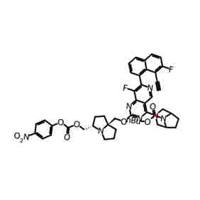 C#Cc1c(F)ccc2cccc(-c3ncc4c(N5CC6CCC(C5)N6C(=O)OCCCC)nc(OC[C@@]56CCCN5[C@H](COC(=O)Oc5ccc([N+](=O)[O-])cc5)CC6)nc4c3F)c12